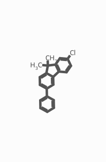 CC1(C)c2ccc(-c3ccccc3)cc2-c2ccc(Cl)cc21